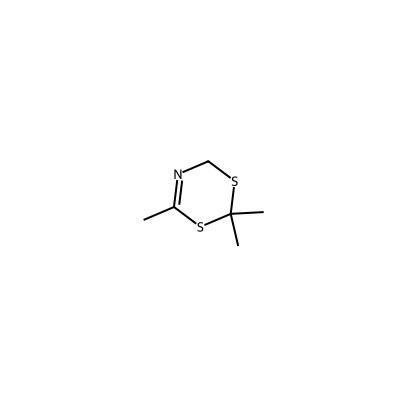 CC1=NCSC(C)(C)S1